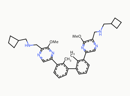 COc1nc(-c2cccc(-c3cccc(-c4cnc(CNCC5CCC5)c(OC)n4)c3C)c2C)cnc1CNCC1CCC1